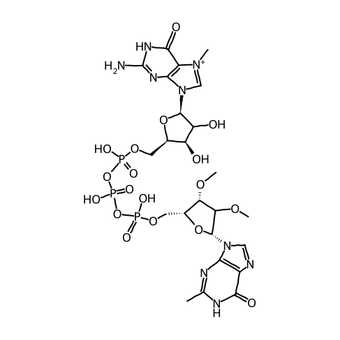 COC1[C@@H](OC)[C@@H](COP(=O)(O)OP(=O)(O)OP(=O)(O)OC[C@H]2O[C@@H](n3c[n+](C)c4c(=O)[nH]c(N)nc43)C(O)[C@H]2O)O[C@H]1n1cnc2c(=O)[nH]c(C)nc21